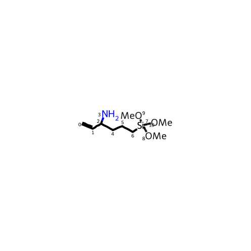 C=CC(N)CCC[Si](OC)(OC)OC